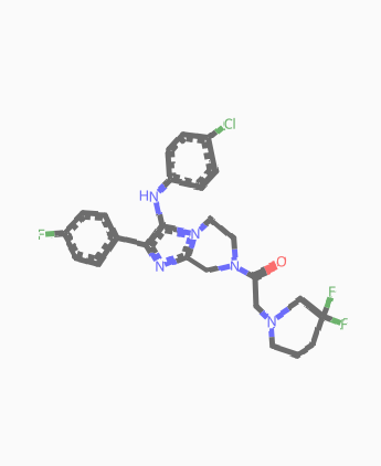 O=C(CN1CCCC(F)(F)C1)N1CCn2c(nc(-c3ccc(F)cc3)c2Nc2ccc(Cl)cc2)C1